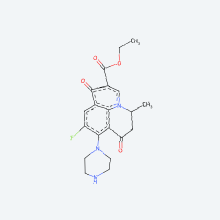 CCOC(=O)c1cn2c3c(c(N4CCNCC4)c(F)cc3c1=O)C(=O)CC2C